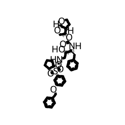 O=C(N[C@@H](Cc1ccccc1)[C@H](O)CNOC1(S(=O)(=O)c2cccc(OCc3ccccc3)c2)CCCC1)O[C@H]1CO[C@H]2OCC[C@H]21